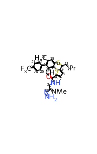 CN/C(CNC(=O)c1ccc(C(CC(C)C)Sc2cc(C)c(-c3ccc(C(F)(F)F)cc3)c(C)c2)s1)=N\N